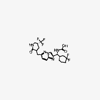 O=C(O)N[C@H](c1cn2nc(CC3C[C@@H](C(F)(F)F)CNC3=O)ccc2n1)[C@@H]1CCCC(F)(F)C1